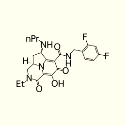 CCCN[C@@H]1C[C@@H]2CN(CC)C(=O)c3c(O)c(=O)c(C(=O)NCc4ccc(F)cc4F)c1n32